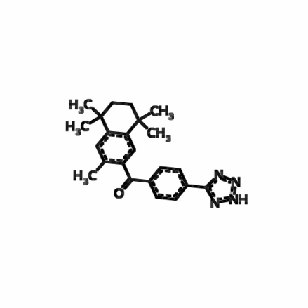 Cc1cc2c(cc1C(=O)c1ccc(-c3nn[nH]n3)cc1)C(C)(C)CCC2(C)C